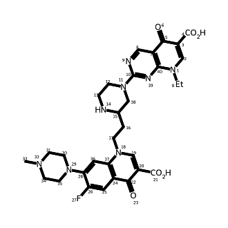 CCn1cc(C(=O)O)c(=O)c2cnc(N3CCNC(CCn4cc(C(=O)O)c(=O)c5cc(F)c(N6CCN(C)CC6)cc54)C3)nc21